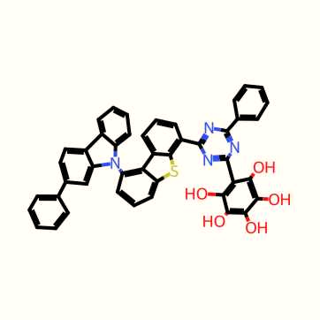 Oc1c(O)c(O)c(-c2nc(-c3ccccc3)nc(-c3cccc4c3sc3cccc(-n5c6ccccc6c6ccc(-c7ccccc7)cc65)c34)n2)c(O)c1O